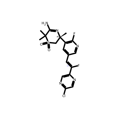 CC1(C)C(N)=N[C@](C)(c2cc(/C=C(\F)c3cnc(Cl)cn3)cnc2F)CS1(=O)=O